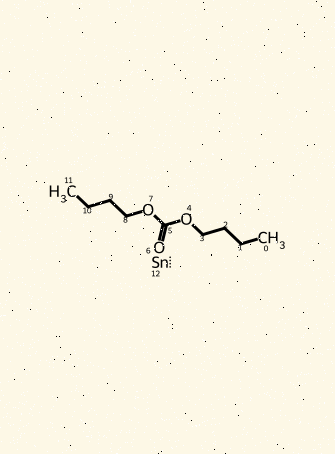 CCCCOC(=O)OCCCC.[Sn]